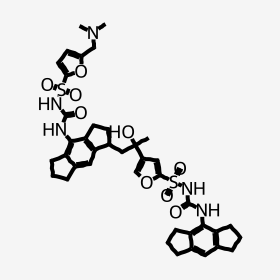 CN(C)Cc1ccc(S(=O)(=O)NC(=O)Nc2c3c(cc4c2CCC4CC(C)(O)c2coc(S(=O)(=O)NC(=O)Nc4c5c(cc6c4CCC6)CCC5)c2)CCC3)o1